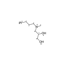 CC(C)CCCN(C)CC(O)CO